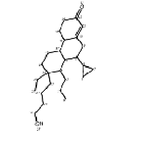 CCCC1C2C(C3CC3)CC3=CC(=O)CCC3C2CCC1(CC)CCCCO